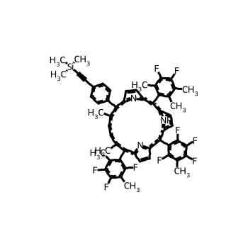 Cc1ccc(C)c(-c2c(C)c(F)c(F)c(C)c2F)c2nc(c(-c3c(F)c(C)c(F)c(F)c3F)c3ccc([nH]3)c(-c3c(C)c(C)c(F)c(F)c3C)c3nc(c1-c1ccc(C#C[Si](C)(C)C)cc1)C=C3)C=C2